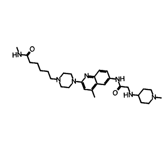 CNC(=O)CCCCCN1CCN(c2cc(C)c3cc(NC(=O)CNC4CCN(C)CC4)ccc3n2)CC1